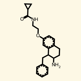 NC1CCc2ccc(OCCNC(=O)C3CC3)cc2C1Cc1ccccc1